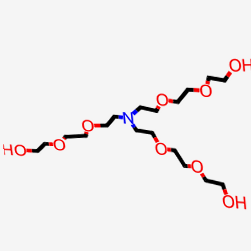 OCCOCCOCCN(CCOCCOCCO)CCOCCOCCO